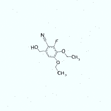 CCOc1cc(CO)c(C#N)c(F)c1OCC